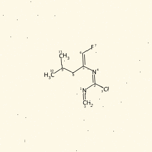 C=N/C(Cl)=N\C(=C/F)CC(C)C